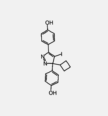 Oc1ccc(C2=C(I)C(c3ccc(O)cc3)(C3CCC3)N=N2)cc1